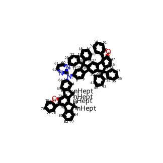 CCCCCCCC1(CCCCCCC)c2cc(N(c3ccc4c(c3)C(c3ccccc3)(c3ccccc3)c3cc5c(cc3-4)C(c3ccccc3)(c3ccccc3)c3ccc4oc6ccccc6c4c3-5)c3ncccn3)ccc2-c2c1c1c(c3c2oc2ccccc23)-c2ccccc2C1(CCCCCCC)CCCCCCC